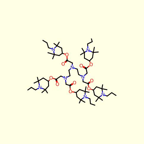 CCCN1C(C)(C)CC(OC(=O)CN(CCN(CC(=O)OC2CC(C)(C)N(CCC)C(C)(C)C2)CC(=O)OC2CC(C)(C)N(CCC)C(C)(C)C2)CCN(CC(=O)OC2CC(C)(C)N(CCC)C(C)(C)C2)CC(=O)OC2CC(C)(C)N(CCC)C(C)(C)C2)CC1(C)C